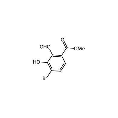 COC(=O)c1ccc(Br)c(O)c1C=O